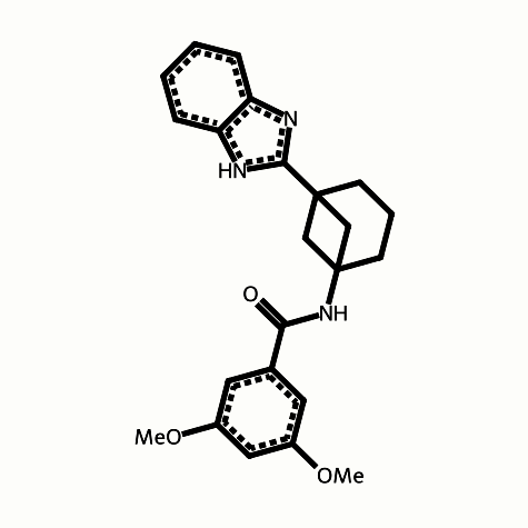 COc1cc(OC)cc(C(=O)NC23CCCC(c4nc5ccccc5[nH]4)(C2)C3)c1